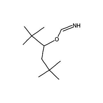 CC(C)(C)CC(OC=N)C(C)(C)C